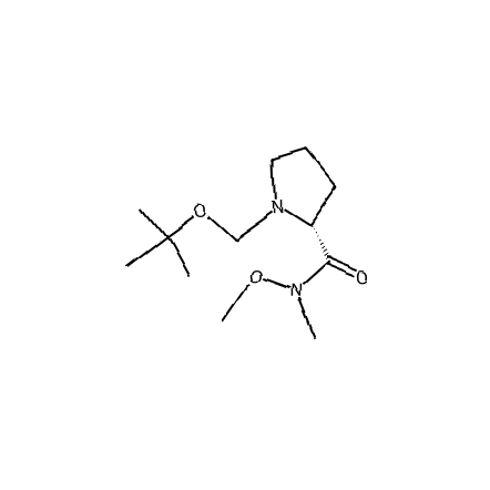 CON(C)C(=O)[C@H]1CCCN1COC(C)(C)C